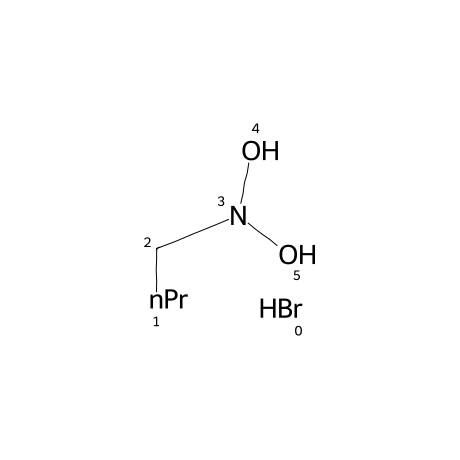 Br.CCCCN(O)O